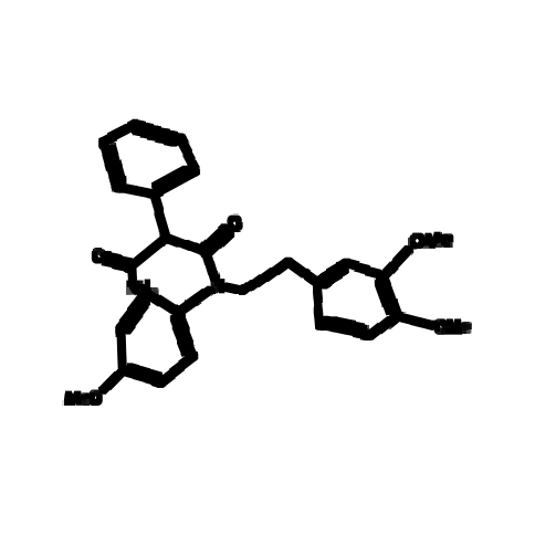 COc1ccc(N(CCc2ccc(OC)c(OC)c2)C(=O)C(C(N)=O)c2ccccc2)cc1